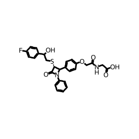 O=C(O)CNC(=O)COc1ccc(C2[C@@H](SCC(O)c3ccc(F)cc3)C(=O)N2c2ccccc2)cc1